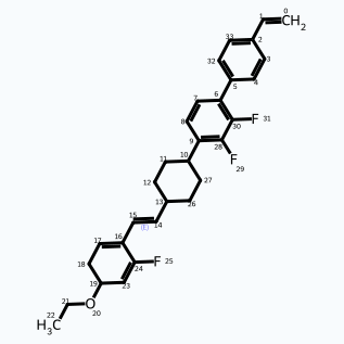 C=Cc1ccc(-c2ccc(C3CCC(/C=C/C4=CCC(OCC)C=C4F)CC3)c(F)c2F)cc1